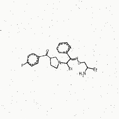 CCC(N)CON=C(c1ccccc1)C(CC)N1CCC(C(=O)c2ccc(F)cc2)C1